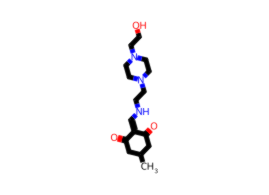 CC1CC(=O)C(=CNCCN2CCN(CCO)CC2)C(=O)C1